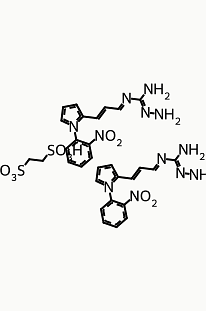 NN=C(N)N=CC=Cc1cccn1-c1ccccc1[N+](=O)[O-].NN=C(N)N=CC=Cc1cccn1-c1ccccc1[N+](=O)[O-].O=S(=O)(O)CCS(=O)(=O)O